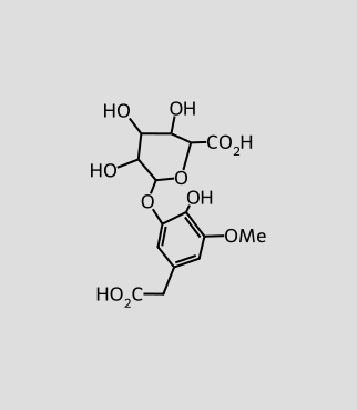 COc1cc(CC(=O)O)cc(OC2OC(C(=O)O)C(O)C(O)C2O)c1O